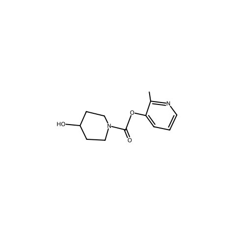 Cc1ncccc1OC(=O)N1CCC(O)CC1